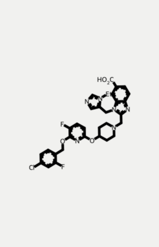 CCn1cncc1Cn1c(CN2CCC(Oc3ccc(F)c(OCc4ccc(Cl)cc4F)n3)CC2)nc2ccc(C(=O)O)cc21